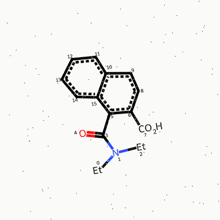 CCN(CC)C(=O)c1c(C(=O)O)ccc2ccccc12